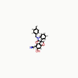 Cc1ccc(CN2C(=O)C3(COc4cc(O)c(C#N)cc43)c3ccccc32)cc1